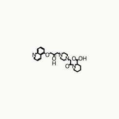 O=C(O)C1CCCCN1C(=O)CN1CCN(C[C@@H](O)COc2cccc3ncccc23)CC1